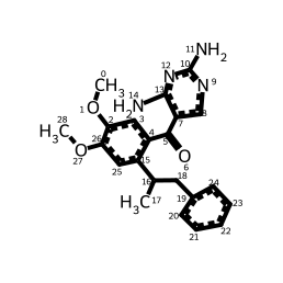 COc1cc(C(=O)c2cnc(N)nc2N)c(C(C)Cc2ccccc2)cc1OC